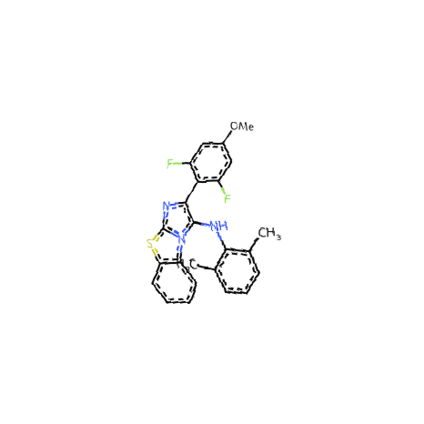 COc1cc(F)c(-c2nc3sc4ccccc4n3c2Nc2c(C)cccc2C)c(F)c1